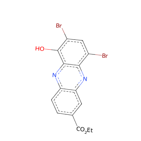 CCOC(=O)c1ccc2nc3c(O)c(Br)cc(Br)c3nc2c1